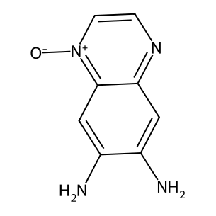 Nc1cc2ncc[n+]([O-])c2cc1N